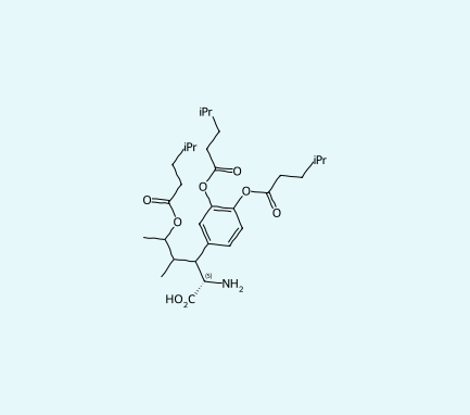 CC(C)CCC(=O)Oc1ccc(C(C(C)C(C)OC(=O)CCC(C)C)[C@H](N)C(=O)O)cc1OC(=O)CCC(C)C